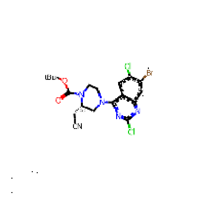 CC(C)(C)OC(=O)N1CCN(c2nc(Cl)nc3cc(Br)c(Cl)cc23)C[C@@H]1CC#N